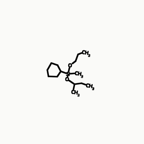 CCCO[Si](C)(OC(C)CC)C1CCCCC1